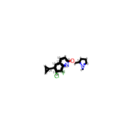 CN1CCCC1COc1ccc2cc(C3CC3)c(Cl)c(F)c2n1